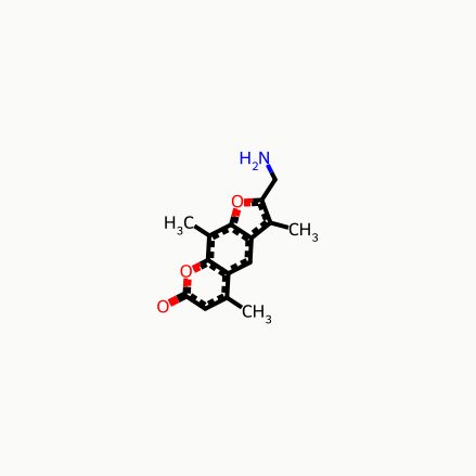 Cc1cc(=O)oc2c(C)c3oc(CN)c(C)c3cc12